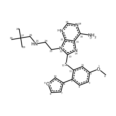 COc1ccc(-c2ccoc2)c(Sc2nc3c(N)ncnc3n2CCNCC(C)(C)C)c1